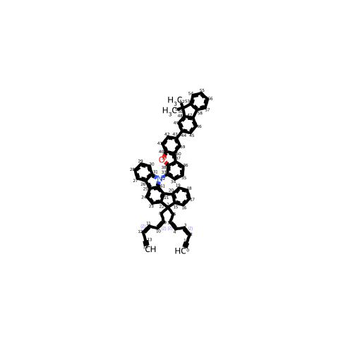 C#C/C=C\C=C/CC1(C/C=C\C=C/C#C)c2ccccc2-c2c1ccc1c3ccccc3n(-c3cccc4c3oc3ccc(-c5ccc6c(c5)C(C)(C)c5ccccc5-6)cc34)c21